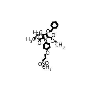 CCOC(=O)c1c(OCc2ccccc2)c(C)c(C(=O)N(C)C)n1-c1ccc(OCCCS(C)(=O)=O)cc1